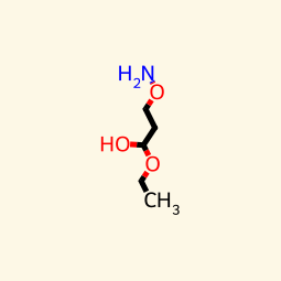 CCOC(O)CCON